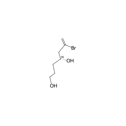 C=C(Br)C[C@H](O)CCCO